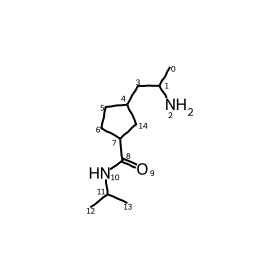 CC(N)CC1CCC(C(=O)NC(C)C)C1